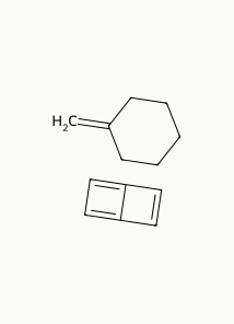 C=C1CCCCC1.c1cc2ccc1-2